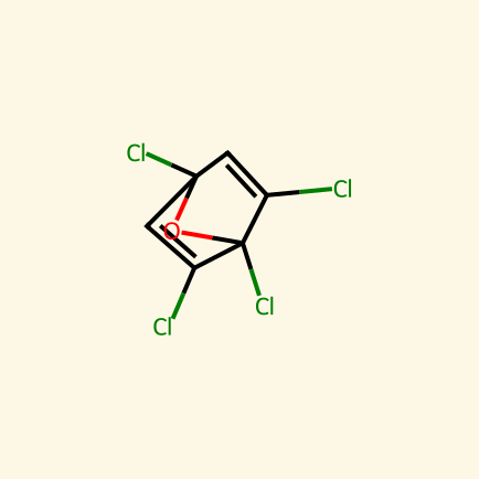 ClC1=CC2(Cl)C=C(Cl)C1(Cl)O2